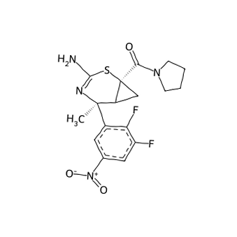 C[C@]1(c2cc([N+](=O)[O-])cc(F)c2F)N=C(N)S[C@@]2(C(=O)N3CCCC3)CC21